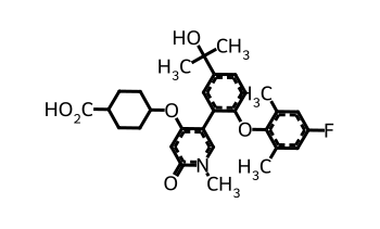 Cc1cc(F)cc(C)c1Oc1ccc(C(C)(C)O)cc1-c1cn(C)c(=O)cc1OC1CCC(C(=O)O)CC1